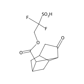 O=C(OCC(F)(F)S(=O)(=O)O)C1C2CC3CC(=O)C1C3C2